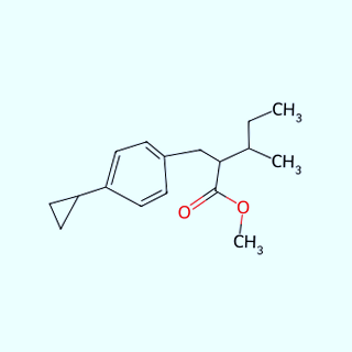 CCC(C)C(Cc1ccc(C2CC2)cc1)C(=O)OC